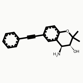 CC1(C)Oc2ccc(C#Cc3ccccc3)cc2[C@H](N)[C@H]1O